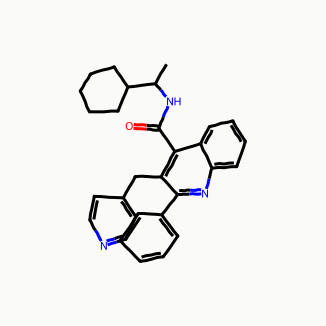 CC(NC(=O)c1c(Cc2ccncc2)c(-c2ccccc2)nc2ccccc12)C1CCCCC1